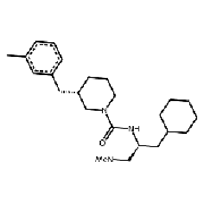 CNC[C@H](CC1CCCCC1)NC(=O)N1CCC[C@@H](Cc2cccc(C)c2)C1